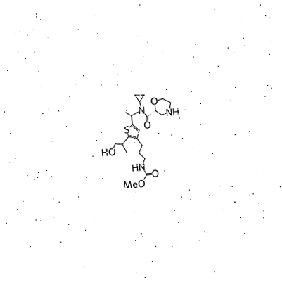 COC(=O)NCCCc1cc(C(C)N(C(=O)[C@H]2CNCCO2)C2CC2)sc1C(C)CO